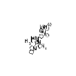 Cc1nn(Nc2ccc3c(c2)C(=O)N(C2CCC(=O)NC2=O)C3=O)c(C)c1-c1ccc2ccccc2n1